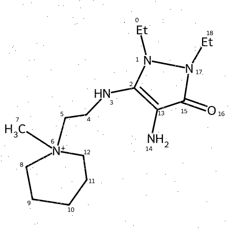 CCn1c(NCC[N+]2(C)CCCCC2)c(N)c(=O)n1CC